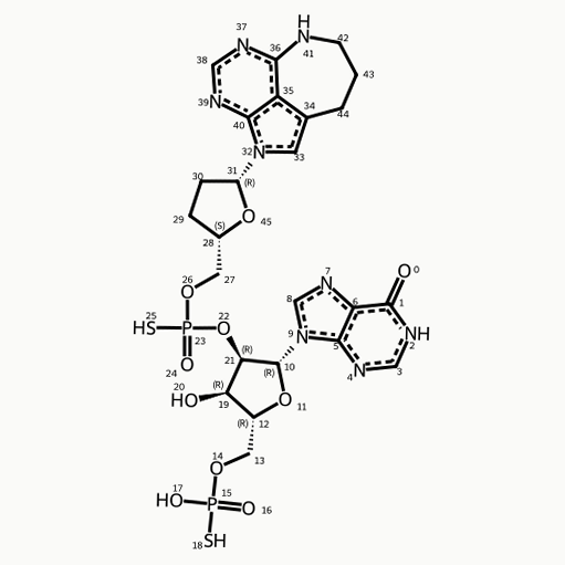 O=c1[nH]cnc2c1ncn2[C@@H]1O[C@H](COP(=O)(O)S)[C@@H](O)[C@H]1OP(=O)(S)OC[C@@H]1CC[C@H](n2cc3c4c(ncnc42)NCCC3)O1